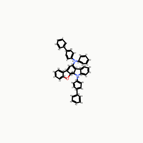 c1ccc(-c2ccc(N(c3ccccc3)c3cc4c5ccccc5oc4c4c3c3ccccc3n4-c3ccc(-c4ccccc4)cc3)cc2)cc1